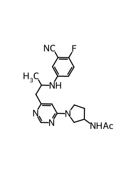 CC(=O)NC1CCN(c2cc(CC(C)Nc3ccc(F)c(C#N)c3)ncn2)C1